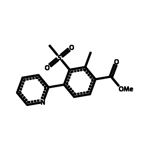 COC(=O)c1ccc(-c2ccccn2)c(S(C)(=O)=O)c1C